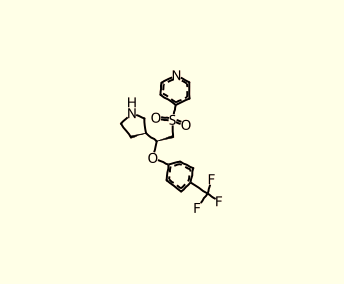 O=S(=O)(C[C@@H](Oc1ccc(C(F)(F)F)cc1)[C@H]1CCNC1)c1ccncc1